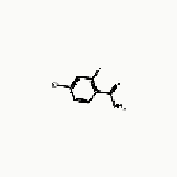 NC(=S)c1ccc(Cl)cc1F